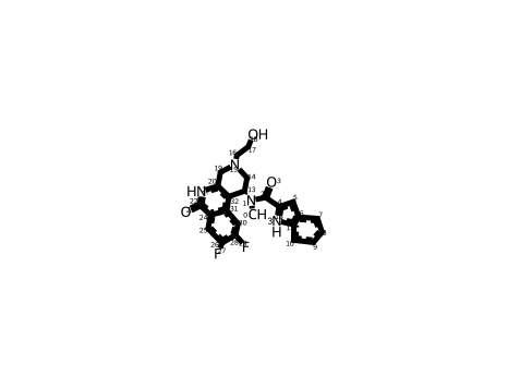 CN(C(=O)c1cc2ccccc2[nH]1)[C@H]1CN(CCO)Cc2[nH]c(=O)c3cc(F)c(F)cc3c21